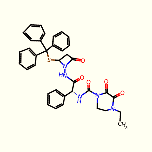 CCN1CCN(C(=O)N[C@@H](C(=O)NN2C(=O)CC2SC(c2ccccc2)(c2ccccc2)c2ccccc2)c2ccccc2)C(=O)C1=O